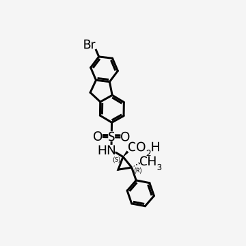 C[C@]1(c2ccccc2)C[C@@]1(NS(=O)(=O)c1ccc2c(c1)Cc1cc(Br)ccc1-2)C(=O)O